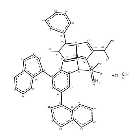 CC1=Cc2c(-c3cccc4ccccc34)cc(-c3cccc4ccccc34)cc2[CH]1[Zr]([CH3])([CH3])(=[SiH2])[C]1=C2SC(C)C(c3ccccc3)=C2C=C1C(C)C.Cl.Cl